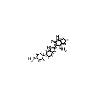 CN1CCC(c2ccc3nc(-c4c(N)c5sccc5[nH]c4=O)[nH]c3c2)CC1